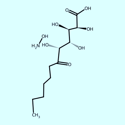 CCCCCCC(=O)[C@H](O)[C@@H](O)[C@@H](O)[C@H](O)C(=O)O.NO